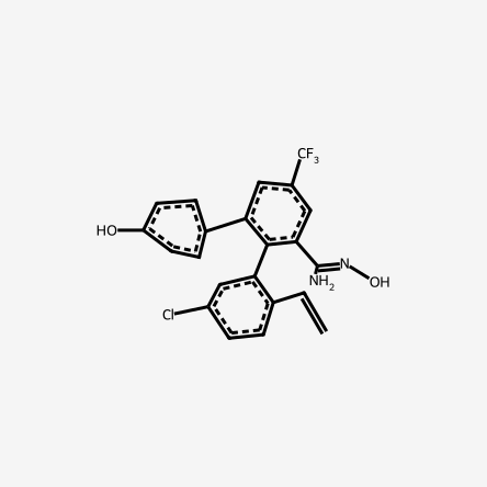 C=Cc1ccc(Cl)cc1-c1c(/C(N)=N/O)cc(C(F)(F)F)cc1-c1ccc(O)cc1